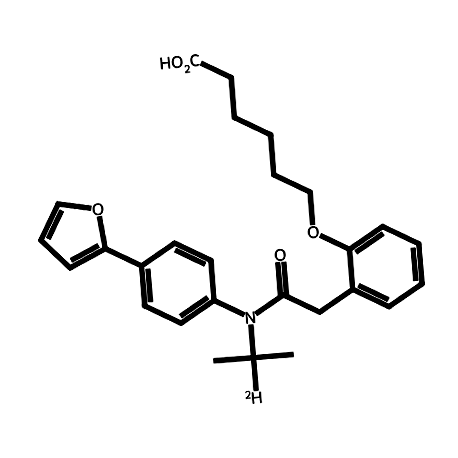 [2H]C(C)(C)N(C(=O)Cc1ccccc1OCCCCCC(=O)O)c1ccc(-c2ccco2)cc1